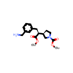 CC(C)(C)OC(=O)[C@@H](Cc1cccc(CN)c1)[C@H]1CCN(C(=O)OC(C)(C)C)C1